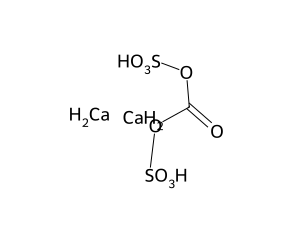 O=C(OS(=O)(=O)O)OS(=O)(=O)O.[CaH2].[CaH2]